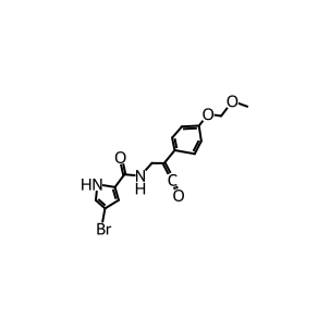 COCOc1ccc(C(=C=O)CNC(=O)c2cc(Br)c[nH]2)cc1